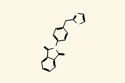 O=C1c2ccccc2C(=O)N1c1ccc(Cc2ncc[nH]2)cc1